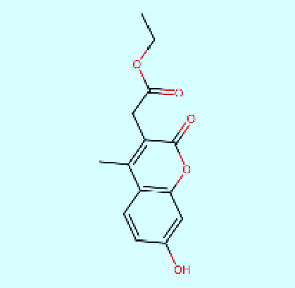 CCOC(=O)Cc1c(C)c2ccc(O)cc2oc1=O